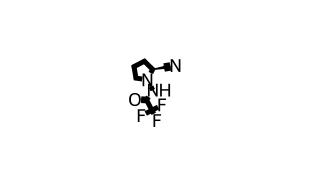 N#C[C@@H]1CCCN1NC(=O)C(F)(F)F